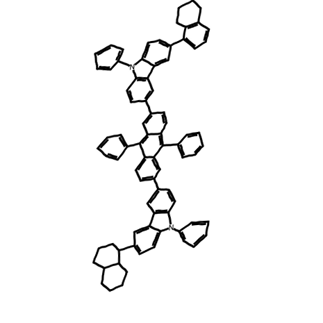 c1ccc(-c2c3ccc(-c4ccc5c(c4)c4cc(C6CCCC7CCCCC76)ccc4n5-c4ccccc4)cc3c(-c3ccccc3)c3ccc(-c4ccc5c(c4)c4cc(-c6cccc7c6CCCC7)ccc4n5-c4ccccc4)cc23)cc1